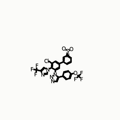 O=[SH](=O)c1cccc(-c2cc(Cl)c(-n3cnc(C(F)(F)F)c3)c(-n3nncc3-c3ccc(OC(F)(F)F)cc3)c2)c1